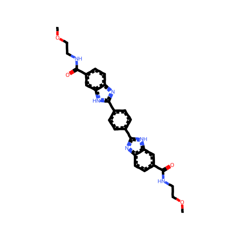 COCCNC(=O)c1ccc2nc(-c3ccc(-c4nc5ccc(C(=O)NCCOC)cc5[nH]4)cc3)[nH]c2c1